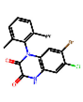 Cc1cccc(C(C)C)c1-n1c(=O)c(=O)[nH]c2cc(Cl)c(Br)cc21